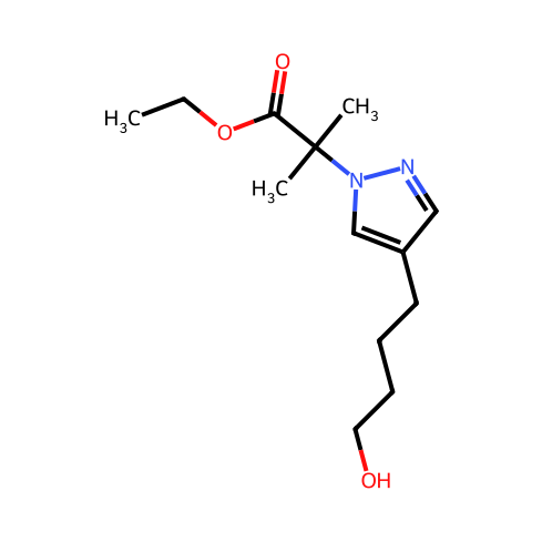 CCOC(=O)C(C)(C)n1cc(CCCCO)cn1